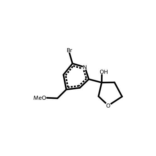 COCc1cc(Br)nc(C2(O)CCOC2)c1